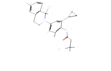 [2H]C1([2H])c2ccc(F)cc2CCN1c1cc(C)c(NC(=O)CC(C)(C)C)c(C2CC2)c1